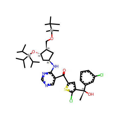 CC(C)[Si](O[C@H]1C[C@H](Nc2ncncc2C(=O)c2cc([C@@](C)(O)c3cccc(Cl)c3)c(Cl)s2)C[C@@H]1CO[Si](C)(C)C(C)(C)C)(C(C)C)C(C)C